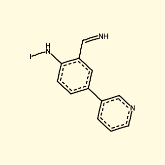 N=Cc1cc(-c2cccnc2)ccc1NI